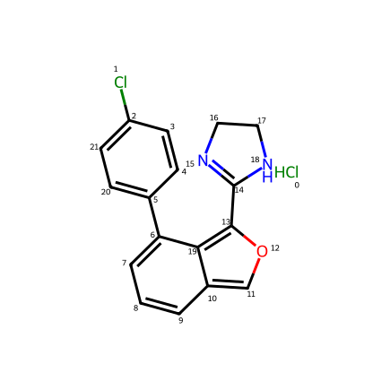 Cl.Clc1ccc(-c2cccc3coc(C4=NCCN4)c23)cc1